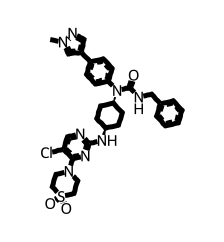 Cn1cc(-c2ccc(N(C(=O)NCc3ccccc3)[C@H]3CC[C@H](Nc4ncc(Cl)c(N5CCS(=O)(=O)CC5)n4)CC3)cc2)cn1